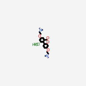 CN(C)CCOc1ccc2c(c1)oc(=O)c1cc(OCCN(C)C)ccc12.Cl.Cl